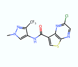 Cn1cc(NC(=O)c2csc3ncc(Cl)nc23)c(C(F)(F)F)n1